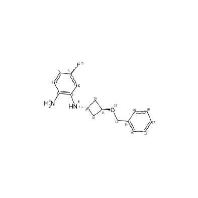 Nc1ccc(F)cc1N[C@H]1C[C@H](OCc2ccccc2)C1